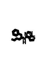 CCCCC(Cc1ccccc1)Nc1ncnc2sccc12